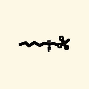 CCCCCC[C@@H](F)COS(C)(=O)=O